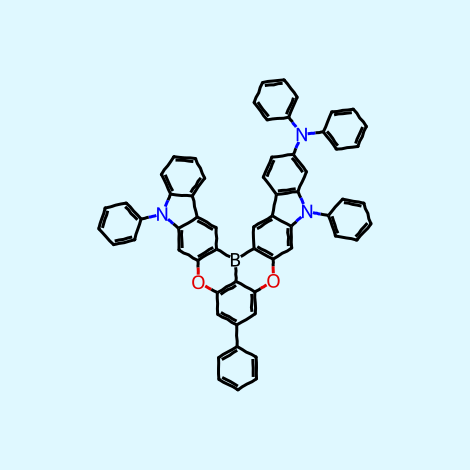 c1ccc(-c2cc3c4c(c2)Oc2cc5c(cc2B4c2cc4c6ccccc6n(-c6ccccc6)c4cc2O3)c2ccc(N(c3ccccc3)c3ccccc3)cc2n5-c2ccccc2)cc1